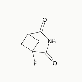 O=C1NC(=O)C2(F)CC1C2